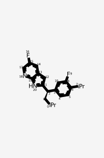 CC(C)C[C@H](c1ccc(C(C)C)c(F)c1)c1cc2cc(F)cnc2[nH]1